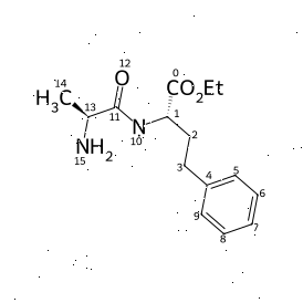 CCOC(=O)[C@H](CCc1ccccc1)[N]C(=O)[C@H](C)N